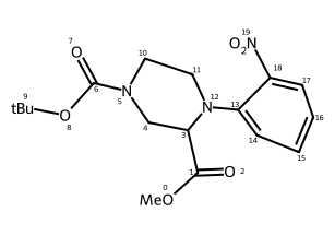 COC(=O)C1CN(C(=O)OC(C)(C)C)CCN1c1ccccc1[N+](=O)[O-]